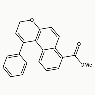 COC(=O)c1cccc2c3c(ccc12)OCC=C3c1ccccc1